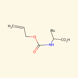 C=CCOC(=O)NC(C(=O)O)C(C)CC